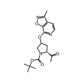 CC(=O)[C@@H]1CC(Oc2nccc3c(C)noc23)CN1C(=O)OC(C)(C)C